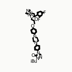 CCC(C)n1ncn(-c2ccc(N3CCN(c4ccc(OCC5COC(Cn6cncn6)(c6ccc(F)cc6F)O5)cc4)CC3)cc2)c1=O